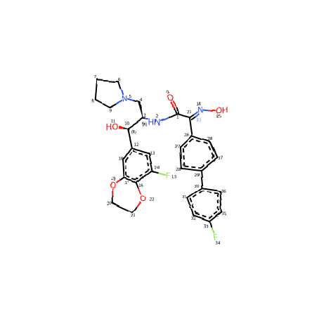 O=C(N[C@H](CN1CCCC1)[C@H](O)c1cc(F)c2c(c1)OCCO2)/C(=N/O)c1ccc(-c2ccc(F)cc2)cc1